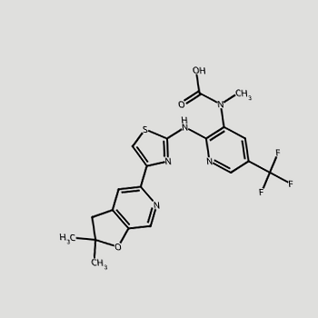 CN(C(=O)O)c1cc(C(F)(F)F)cnc1Nc1nc(-c2cc3c(cn2)OC(C)(C)C3)cs1